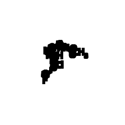 CS(=O)(=O)CCNCc1ccc(-c2ccc3ncnc(Nc4ccc(OCCc5cccc(F)c5)c(Cl)c4)c3c2)o1